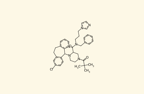 CC(C)(C)C(=O)N1CCN(C2c3ccc(Cl)cc3CCc3cccnc32)C(C(=O)N(CCCn2ccnc2)Cc2ccccc2)C1